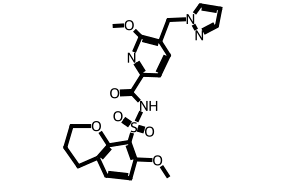 COc1ccc2c(c1S(=O)(=O)NC(=O)c1ccc(Cn3cccn3)c(OC)n1)OCCC2